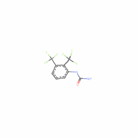 [NH]C(=O)[N]c1cccc(C(F)(F)F)c1C(F)(F)F